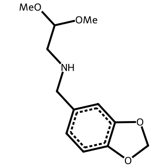 COC(CNCc1ccc2c(c1)OCO2)OC